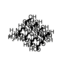 N[C@@H](CCC(=O)N[C@@H](CS)C(=O)NCC(=O)O)C(=O)O.N[C@@H](CCC(=O)N[C@@H](CS)C(=O)NCC(=O)O)C(=O)O.N[C@@H](CCC(=O)N[C@@H](CS)C(=O)NCC(=O)O)C(=O)O.N[C@@H](CCC(=O)N[C@@H](CS)C(=O)NCC(=O)O)C(=O)O.S.S